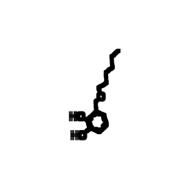 CCCCCCOCc1cccc(O)c1O